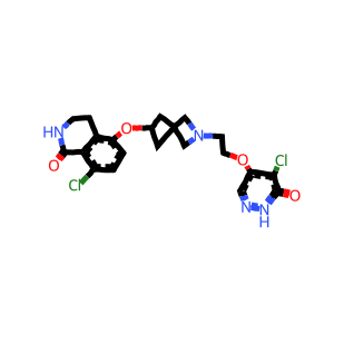 O=C1NCCc2c(OC3CC4(C3)CN(CCOc3cn[nH]c(=O)c3Cl)C4)ccc(Cl)c21